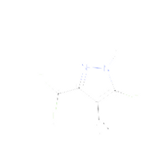 Cn1nc(C(F)F)c(C#N)c1F